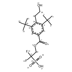 CC(C)(C)c1cc(C(=O)OCC(F)(F)S(=O)(=O)O)cc(C(C)(C)C)c1CCO